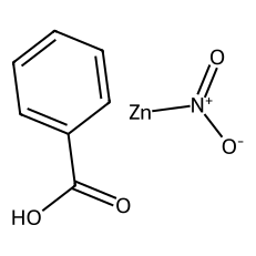 O=C(O)c1ccccc1.O=[N+]([O-])[Zn]